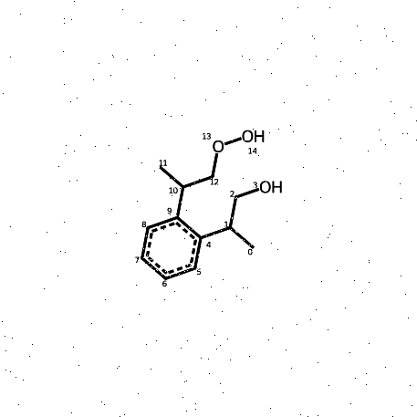 CC(CO)c1ccccc1C(C)COO